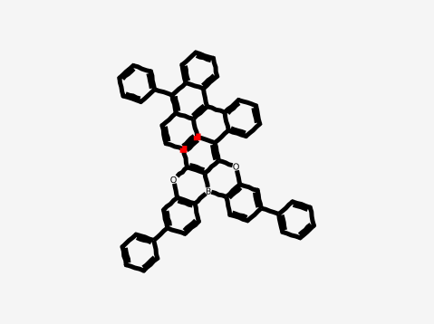 c1ccc(-c2ccc3c(c2)Oc2ccc(-c4ccccc4-c4c5ccccc5c(-c5ccccc5)c5ccccc45)c4c2B3c2ccc(-c3ccccc3)cc2O4)cc1